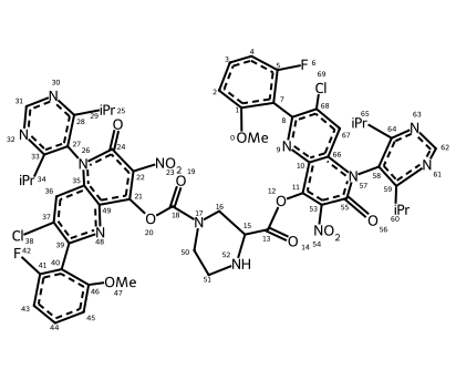 COc1cccc(F)c1-c1nc2c(OC(=O)C3CN(C(=O)Oc4c([N+](=O)[O-])c(=O)n(-c5c(C(C)C)ncnc5C(C)C)c5cc(Cl)c(-c6c(F)cccc6OC)nc45)CCN3)c([N+](=O)[O-])c(=O)n(-c3c(C(C)C)ncnc3C(C)C)c2cc1Cl